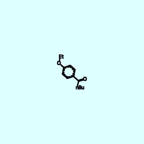 [CH2]CCCC(=O)c1ccc(OCC)cc1